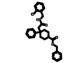 O=C(CC1(c2ccccc2)CCN(C(=O)OCc2ccccc2)CC1)NCc1ccccc1Cl